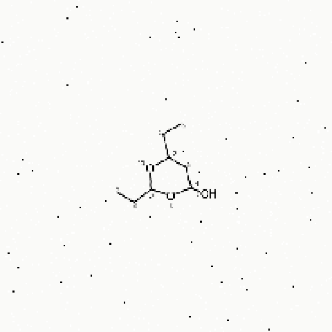 CCC1CC(O)OC(CC)O1